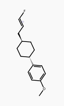 COc1ccc([C@H]2CC[C@H](C/C=C/F)CC2)cc1